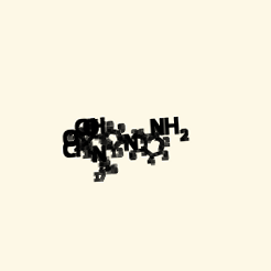 NC1C=CCC2CN(c3ccc4c(c3)N(C3CC3)CC(Cl)(C(=O)O)C4=O)CC12